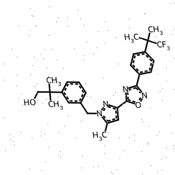 Cc1cc(-c2nc(-c3ccc(C(C)(C)C(F)(F)F)cc3)no2)nn1Cc1cccc(C(C)(C)CO)c1